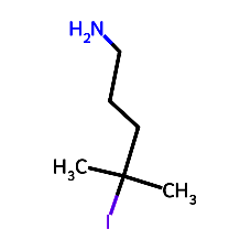 CC(C)(I)CCCN